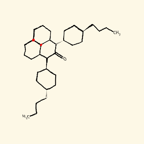 CCCC[C@H]1CC[C@H](C(C(=O)C(C2CCCCC2)[C@H]2CC[C@H](CCCC)CC2)C2CCCCC2)CC1